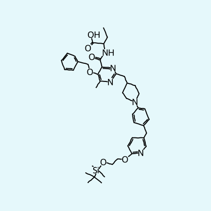 CCC(NC(=O)c1nc(CC2CCN(c3ccc(Cc4ccc(OCCO[Si](C)(C)C(C)(C)C)nc4)cc3)CC2)nc(C)c1OCc1ccccc1)C(=O)O